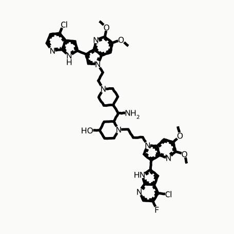 COc1cc2c(nc1OC)c(-c1cc3c(Cl)ccnc3[nH]1)cn2CCN1CCC(C(N)C2CC(O)CCN2CCCn2cc(-c3cc4c(Cl)c(F)cnc4[nH]3)c3nc(OC)c(OC)cc32)CC1